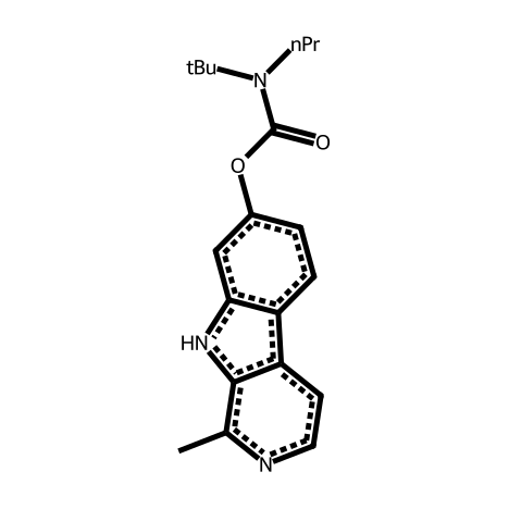 CCCN(C(=O)Oc1ccc2c(c1)[nH]c1c(C)nccc12)C(C)(C)C